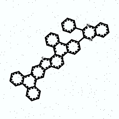 c1ccc(-c2nc3ccccc3nc2-c2ccc3c(c2)c2ccccc2c2c3ccc3c4cc5c6ccccc6c6ccccc6c5cc4sc32)cc1